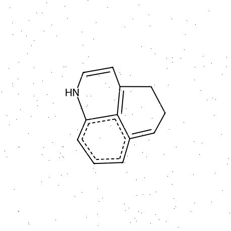 C1=CC2=c3c(cccc3=CCC2)N1